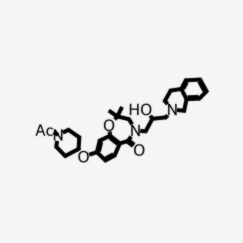 CC(=O)N1CCC(Oc2ccc3c(c2)OC(C)(C)CN(CC(O)CN2CCc4ccccc4C2)C3=O)CC1